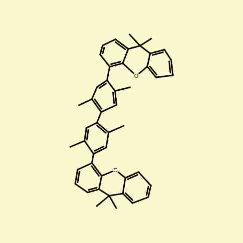 Cc1cc(-c2cccc3c2Oc2ccccc2C3(C)C)c(C)cc1-c1cc(C)c(-c2cccc3c2Oc2ccccc2C3(C)C)cc1C